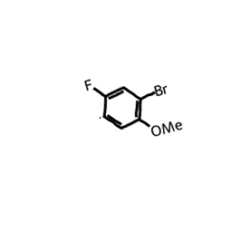 COc1c[c]c(F)cc1Br